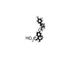 C=C1COc2cc(OCc3sc(-c4ccc(C)cc4)nc3C)ccc2C1CC(=O)O